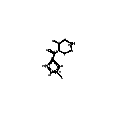 C[C@H]1CNCCN1C(=O)c1cn(C)nn1